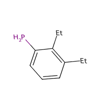 CCc1cccc(P)c1CC